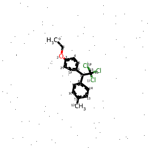 CCOc1ccc(C(c2ccc(C)cc2)C(Cl)(Cl)Cl)cc1